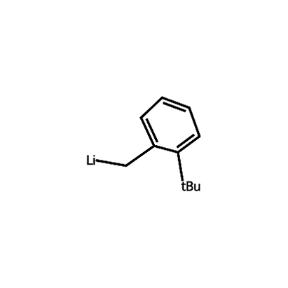 [Li][CH2]c1ccccc1C(C)(C)C